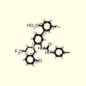 Cc1ccc(NC(=O)Nc2cc(-c3cc(F)ccc3C(=O)O)ccc2N(CCC(F)(F)F)Cc2ccccc2Cl)cc1